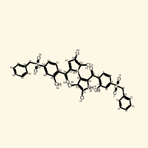 O=C(c1ccc(S(=O)(=O)Cc2ccccc2)cc1O)c1[nH]c(Cl)c(Cl)c1-n1c(C(=O)c2ccc(S(=O)(=O)Cc3ccccc3)cc2O)cc(Cl)c1Cl